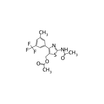 CC(=O)Nc1nc(-c2cc(C)cc(C(F)(F)F)c2)c(COC(C)=O)s1